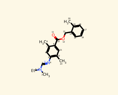 CCN(C)/C=N/c1cc(C)c(C(=O)OCc2ccccc2C)cc1C